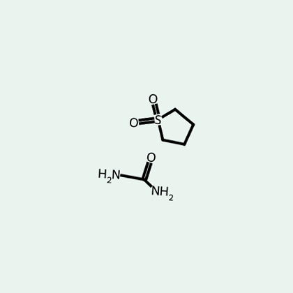 NC(N)=O.O=S1(=O)CCCC1